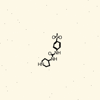 CS(=O)(=O)c1ccc(NC(=O)NC2CCNCC2)cc1